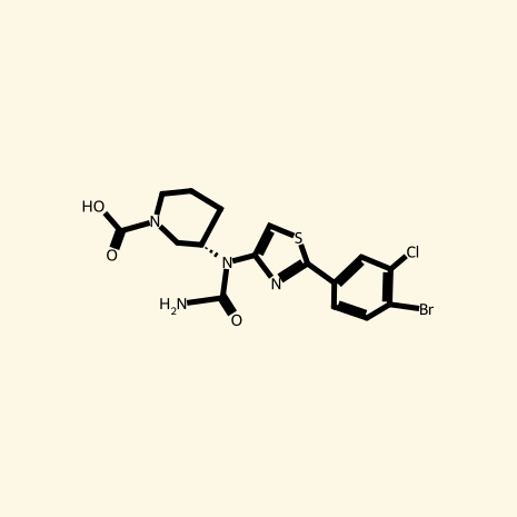 NC(=O)N(c1csc(-c2ccc(Br)c(Cl)c2)n1)[C@H]1CCCN(C(=O)O)C1